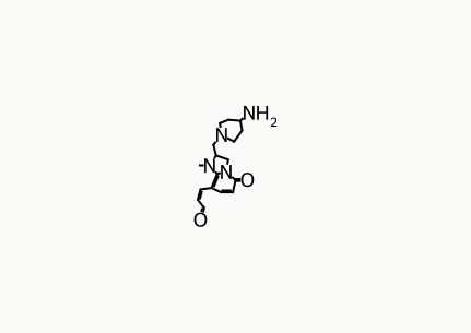 CN1c2c(/C=C\C=O)ccc(=O)n2CC1CN1CCC(N)CC1